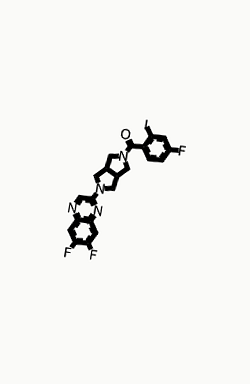 O=C(c1ccc(F)cc1I)N1CC2CN(c3cnc4cc(F)c(F)cc4n3)CC2C1